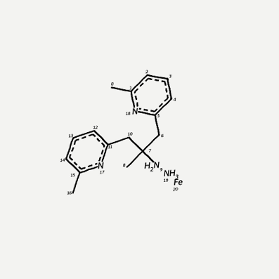 Cc1cccc(CC(C)(N)Cc2cccc(C)n2)n1.N.[Fe]